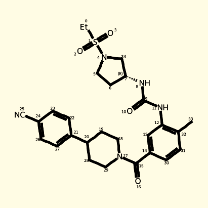 CCS(=O)(=O)N1CC[C@@H](NC(=O)Nc2cc(C(=O)N3CCC(c4ccc(C#N)cc4)CC3)ccc2C)C1